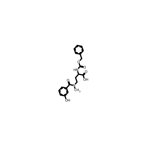 CN(CCC(NC(=O)OCc1ccccc1)C(=O)O)C(=O)c1cccc(O)c1